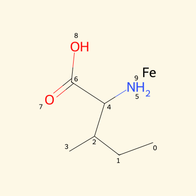 CCC(C)C(N)C(=O)O.[Fe]